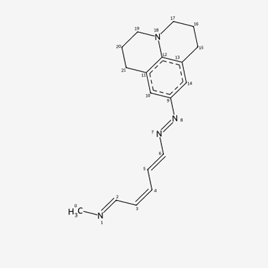 C/N=C/C=C\C=C\N=N\c1cc2c3c(c1)CCCN3CCC2